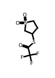 O=C(SC1CCS(=O)(=O)C1)C(F)(F)F